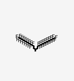 C[C](CCC(F)(F)C(F)(F)C(F)(F)C(F)(F)C(F)(F)C(F)(F)C(F)(F)C(F)(F)F)CCC(F)(F)C(F)(F)C(F)(F)C(F)(F)C(F)(F)C(F)(F)C(F)(F)C(F)(F)F